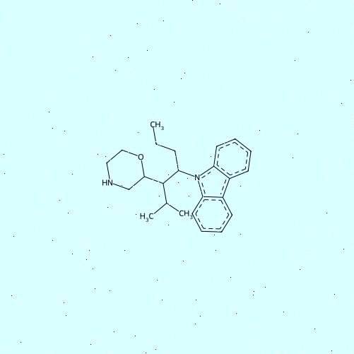 CCCC(C(C(C)C)C1CNCCO1)n1c2ccccc2c2ccccc21